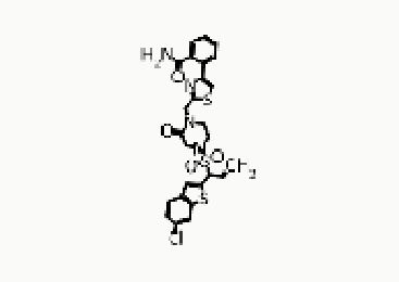 C=CC(c1cc2ccc(Cl)cc2s1)S(=O)(=O)N1CCN(Cc2nc(-c3ccccc3C(N)=O)cs2)C(=O)C1